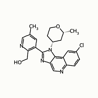 Cc1cnc(CO)c(-c2nc3cnc4ccc(Cl)cc4c3n2[C@@H]2CCO[C@H](C)C2)c1